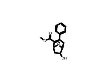 COC(=O)C1=C(c2ccccc2)CC2C(O)CC1N2C